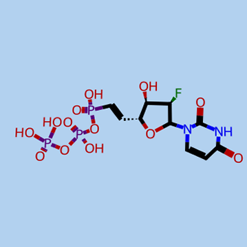 O=c1ccn(C2O[C@H](/C=C/P(=O)(O)OP(=O)(O)OP(=O)(O)O)[C@@H](O)[C@H]2F)c(=O)[nH]1